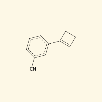 N#Cc1cccc(C2=CCC2)c1